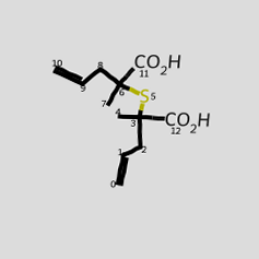 C=CCC(C)(SC(C)(CC=C)C(=O)O)C(=O)O